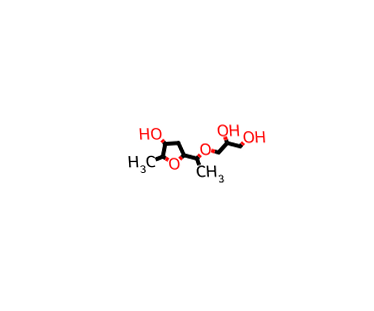 CC1OC(C(C)OCC(O)CO)CC1O